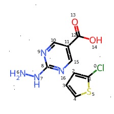 Clc1cccs1.NNc1ncc(C(=O)O)cn1